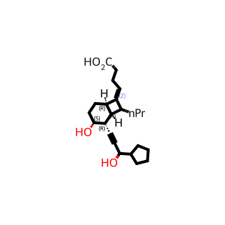 CCCC1/C(=C/CCC(=O)O)[C@@H]2CC[C@H](O)[C@@H](C#CC(O)C3CCCC3)[C@H]12